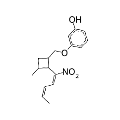 C/C=C\C=C(/C1C(C)CC1COc1cccc(O)c1)[N+](=O)[O-]